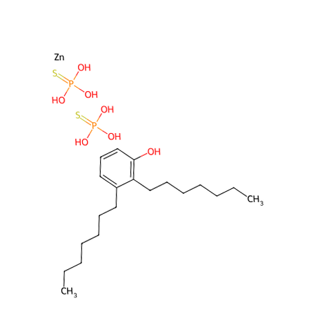 CCCCCCCc1cccc(O)c1CCCCCCC.OP(O)(O)=S.OP(O)(O)=S.[Zn]